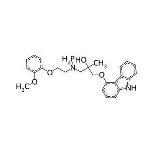 COc1ccccc1OCCN(P)CC(C)(O)COc1cccc2[nH]c3ccccc3c12